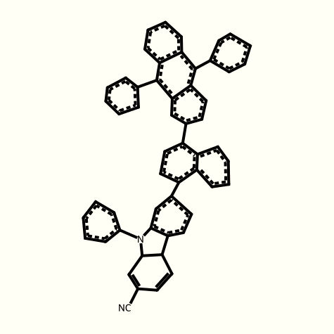 N#CC1=CC2C(C=C1)c1ccc(-c3ccc(-c4ccc5c(-c6ccccc6)c6ccccc6c(-c6ccccc6)c5c4)c4ccccc34)cc1N2c1ccccc1